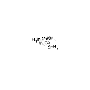 [AlH3].[GaH3].[InH3].[Mn].[SnH2]